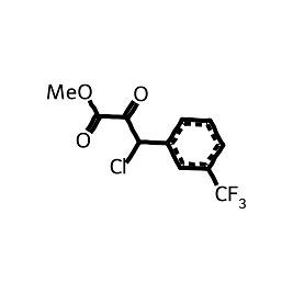 COC(=O)C(=O)C(Cl)c1cccc(C(F)(F)F)c1